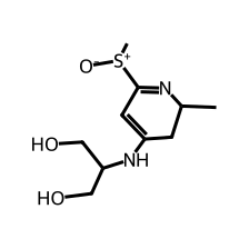 CC1CC(NC(CO)CO)=CC([S+](C)[O-])=N1